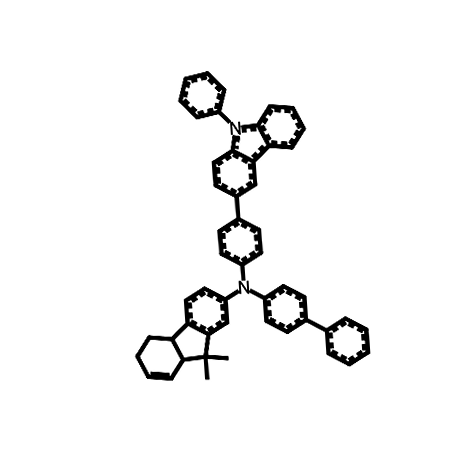 CC1(C)c2cc(N(c3ccc(-c4ccccc4)cc3)c3ccc(-c4ccc5c(c4)c4ccccc4n5-c4ccccc4)cc3)ccc2C2CCC=CC21